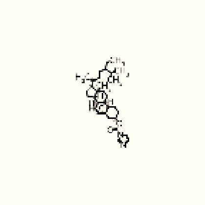 CCC(CC[C@@H](C)[C@H]1CC[C@H]2[C@@H]3CC=C4C[C@@H](OC(=O)n5ccnc5)CC[C@]4(C)[C@H]3CC[C@]12C)C(C)C